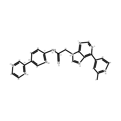 Cc1cc(-c2ncnc3c2ncn3CC(=O)Nc2ccc(-c3cnccn3)cn2)ccn1